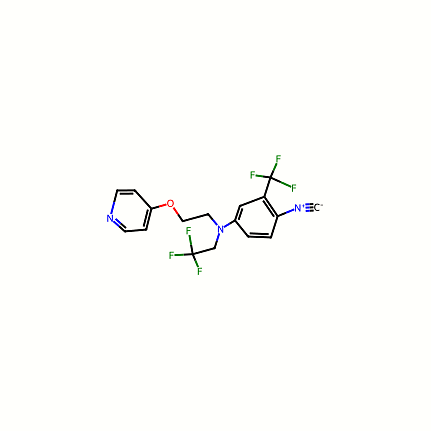 [C-]#[N+]c1ccc(N(CCOc2ccncc2)CC(F)(F)F)cc1C(F)(F)F